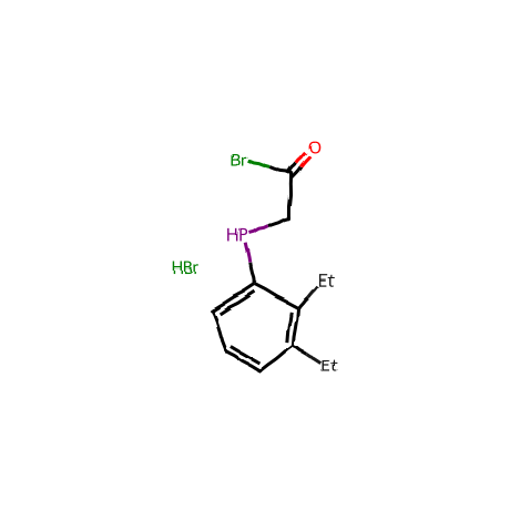 Br.CCc1cccc(PCC(=O)Br)c1CC